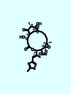 COC1[C@@H](/C(C)=C/c2csc(C)n2)OC(=O)C[C@H](O)[C@]2(C)C[C@@H](CCC[C@@]3(C)O[C@@H]13)[C@H](O)[C@@H](C)C2=O